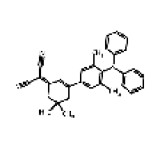 Cc1cc(C2=CC(=C(C#N)C#N)CC(C)(C)C2)cc(C)c1N(c1ccccc1)c1ccccc1